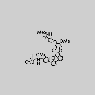 COc1nc(-c2cccc(-c3cccc4c3CC[C@@H]4Oc3nc(OC)c(CN4CCC(C(=O)NSC)C4)cc3Cl)c2Cl)ccc1CNCC1CCC(=O)N1